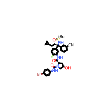 CC(C)(C)[S@@+]([O-])N[C@](CCC1CC1)(c1cccc(C#N)c1)c1ccc(F)c(NC(=O)[C@H]2C[C@@H](O)CN2C(=O)Nc2ccc(Br)cc2)c1